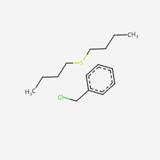 CCCCSCCCC.ClCc1ccccc1